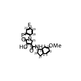 COc1ccc2c(c1)C(NC(=O)C1=C(O)C(=O)N(c3ccc(F)cc3F)C1)CC2